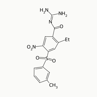 CCc1cc(S(=O)(=O)c2cccc(C)c2)c([N+](=O)[O-])cc1C(=O)N=C(N)N